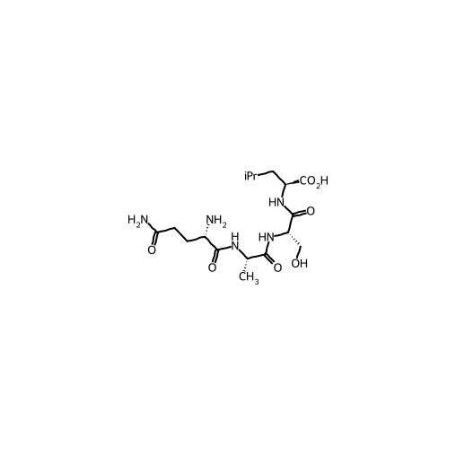 CC(C)C[C@H](NC(=O)[C@H](CO)NC(=O)[C@H](C)NC(=O)[C@@H](N)CCC(N)=O)C(=O)O